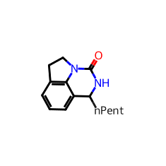 CCCCCC1NC(=O)N2CCc3cccc1c32